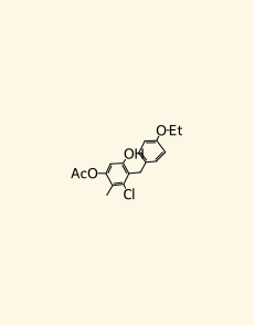 CCOc1ccc(Cc2c(O)cc(OC(C)=O)c(C)c2Cl)cc1